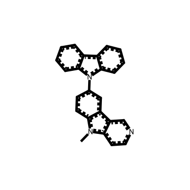 Cn1c2ccncc2c2cc(-n3c4ccccc4c4ccccc43)ccc21